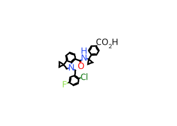 O=C(O)c1ccc(C2(NC(=O)c3cccc4c3N(Cc3cc(F)ccc3Cl)CC43CC3)CC2)cc1